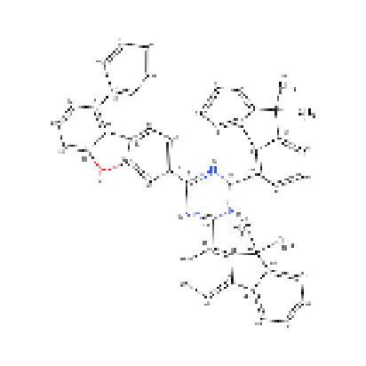 CC1(C)c2ccccc2-c2c(-c3nc(-c4ccc5c(c4)oc4cccc(-c6ccccc6)c45)nc(-c4cccc5c4C(C)(C)c4ccccc4-5)n3)cccc21